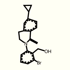 C=C1c2ccc(C3CC3)cc2CCN1c1cccc(Br)c1CO